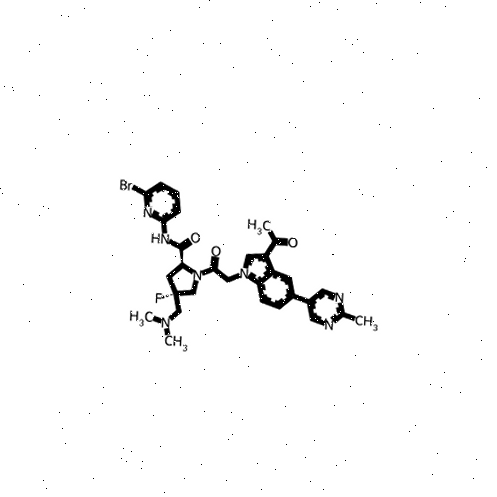 CC(=O)c1cn(CC(=O)N2C[C@@](F)(CN(C)C)C[C@H]2C(=O)Nc2cccc(Br)n2)c2ccc(-c3cnc(C)nc3)cc12